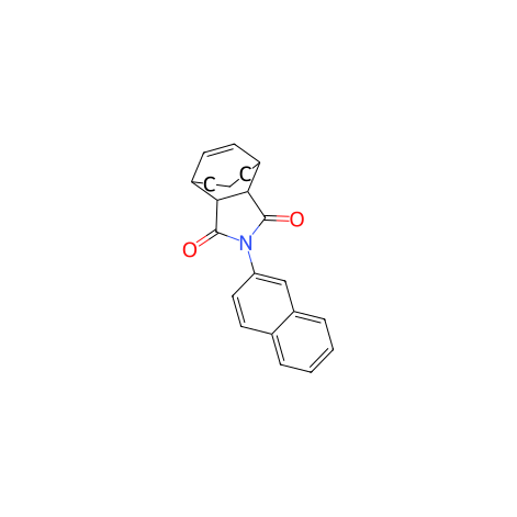 O=C1C2C3C=CC(CCC3)C2C(=O)N1c1ccc2ccccc2c1